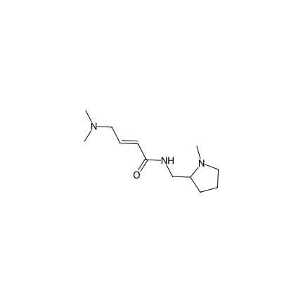 CN(C)C/C=C/C(=O)NCC1CCCN1C